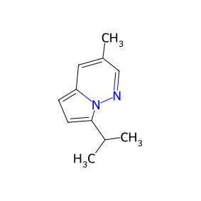 Cc1cnn2c(C(C)C)ccc2c1